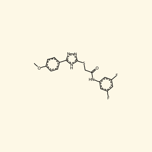 COc1ccc(-c2nnc(SCC(=O)Nc3cc(F)cc(F)c3)[nH]2)cc1